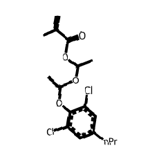 C=C(C)C(=O)OC(C)OC(C)Oc1c(Cl)cc(CCC)cc1Cl